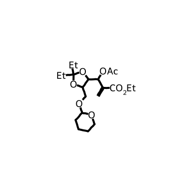 C=C(C(=O)OCC)C(OC(C)=O)C1OC(CC)(CC)OC1COC1CCCCO1